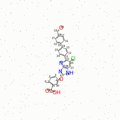 Cc1ccc(Oc2nc3nc(-c4ccc(-c5ccc(C=O)cc5)cc4)c(Cl)cc3[nH]2)cc1C(=O)O